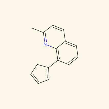 Cc1ccc2cccc(C3=CC=CC3)c2n1